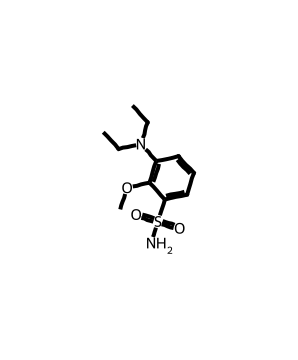 CCN(CC)c1cccc(S(N)(=O)=O)c1OC